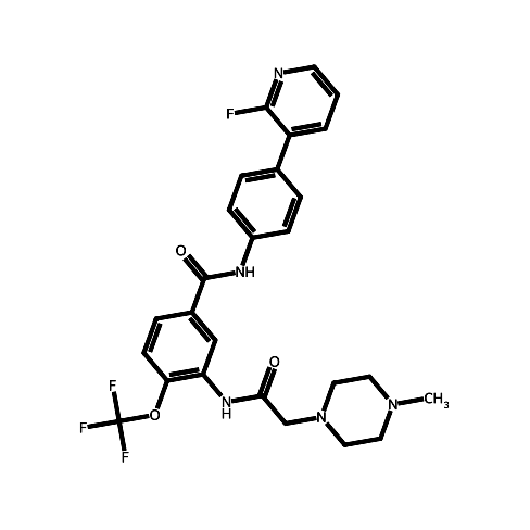 CN1CCN(CC(=O)Nc2cc(C(=O)Nc3ccc(-c4cccnc4F)cc3)ccc2OC(F)(F)F)CC1